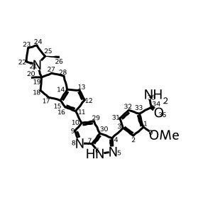 COc1cc(-c2n[nH]c3ncc(-c4ccc5c(c4)CCC(C)(N4CCC[C@H]4C)CC5)cc23)ccc1C(N)=O